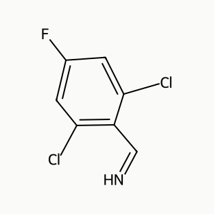 N=Cc1c(Cl)cc(F)cc1Cl